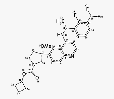 CO[C@@]1(c2ccc3nccc(N[C@H](C)c4cccc(C(F)F)c4F)c3c2)CCN(C(=O)OC2CCC2)C1